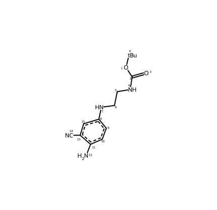 CC(C)(C)OC(=O)NCCNc1ccc(N)c(C#N)c1